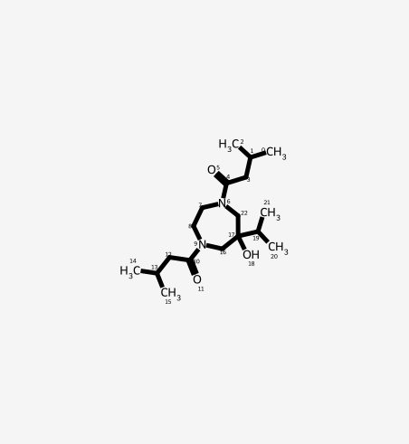 CC(C)CC(=O)N1CCN(C(=O)CC(C)C)CC(O)(C(C)C)C1